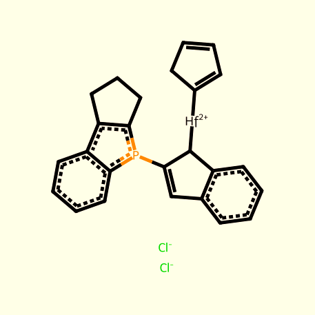 C1=CC[C]([Hf+2][CH]2C(p3c4c(c5ccccc53)CCC4)=Cc3ccccc32)=C1.[Cl-].[Cl-]